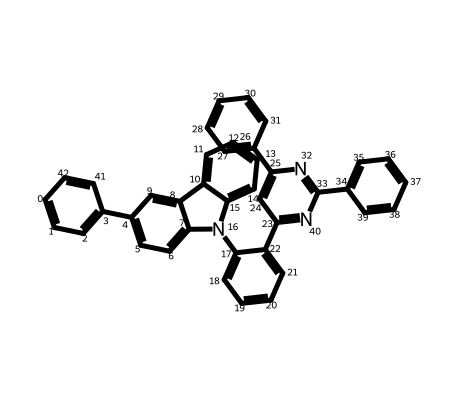 c1ccc(-c2ccc3c(c2)c2ccccc2n3-c2ccccc2-c2cc(-c3ccccc3)nc(-c3ccccc3)n2)cc1